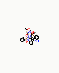 CC(=O)S[C@H]1C(=O)N2[C@H]3N(S(=O)(=O)c4ccccc4)c4ccccc4[C@@]3(c3c[nH]c4ccccc34)C[C@]2(SC(C)=O)C(=O)N1C